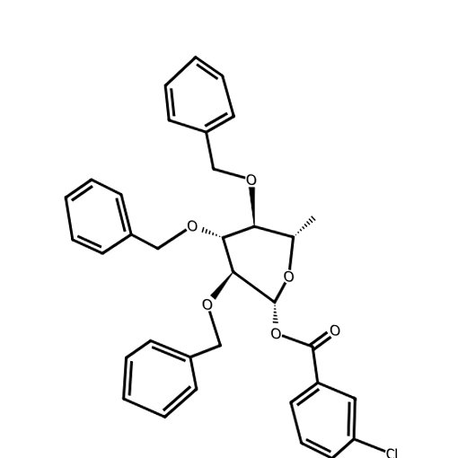 C[C@@H]1O[C@H](OC(=O)c2cccc(Cl)c2)[C@@H](OCc2ccccc2)[C@H](OCc2ccccc2)[C@H]1OCc1ccccc1